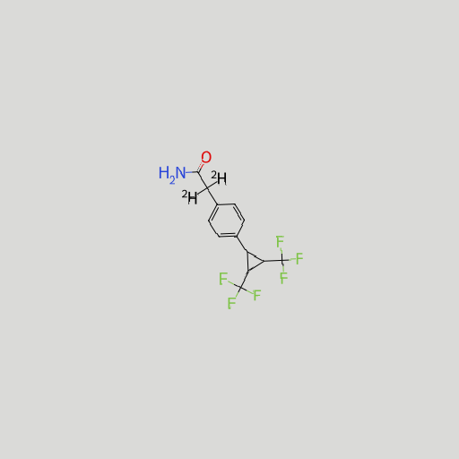 [2H]C([2H])(C(N)=O)c1ccc(C2C(C(F)(F)F)C2C(F)(F)F)cc1